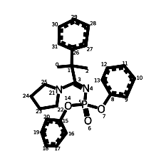 CC(C)(C(=NP(=O)(Oc1ccccc1)Oc1ccccc1)N1CCCC1)c1ccccc1